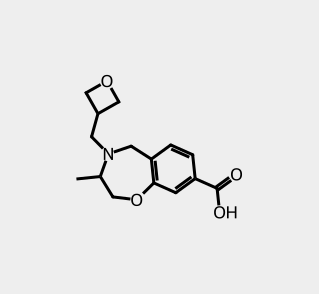 CC1COc2cc(C(=O)O)ccc2CN1CC1COC1